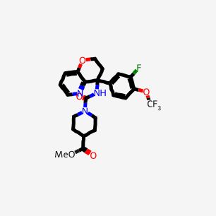 COC(=O)C1CCN(C(=O)NC2(c3ccc(OC(F)(F)F)c(F)c3)CCOc3cccnc32)CC1